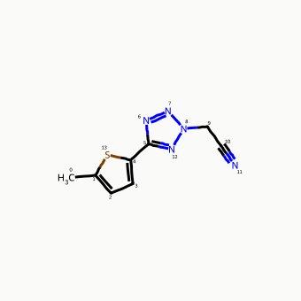 Cc1ccc(-c2nnn(CC#N)n2)s1